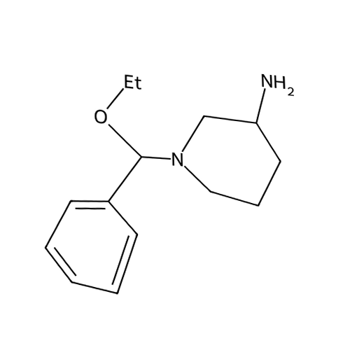 CCOC(c1ccccc1)N1CCCC(N)C1